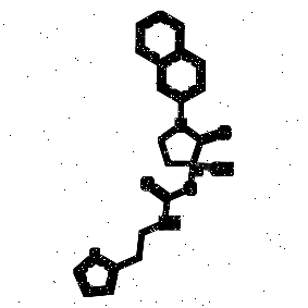 O=C(NCCc1cccs1)O[C@@]1(O)CCN(c2ccc3ccccc3c2)C1=O